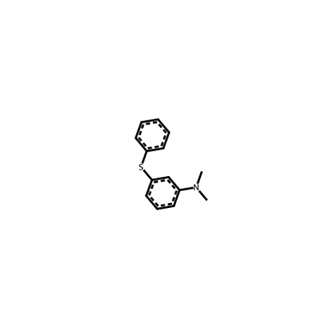 CN(C)c1cccc(Sc2ccccc2)c1